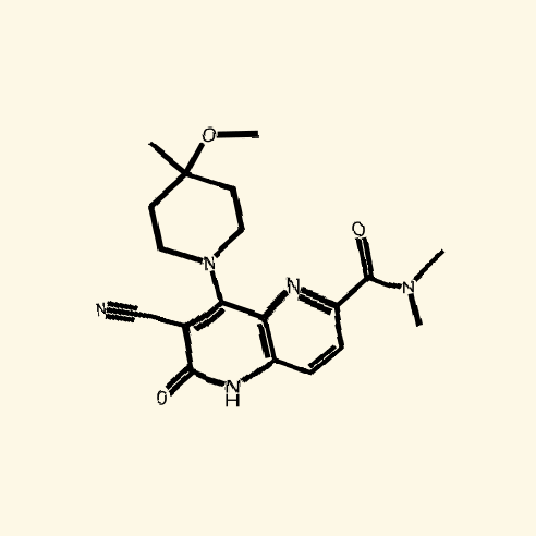 COC1(C)CCN(c2c(C#N)c(=O)[nH]c3ccc(C(=O)N(C)C)nc23)CC1